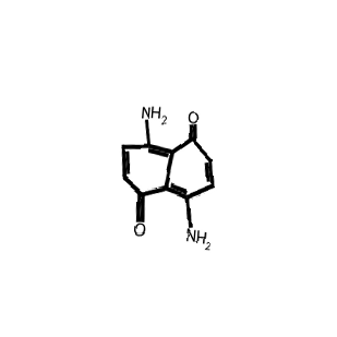 NC1=C2C(=O)C=CC(N)=C2C(=O)C=C1